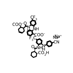 N#Cc1ccc(Nc2ccc(C(F)(F)F)cc2NC(=O)[C@@H]2CCCC[C@H]2C(=O)O)cc1.O=C([O-])c1ccccc1Nc1ccc(C(F)(F)F)cc1NC(=O)C1CC=CCC1C(=O)[O-].[Na+].[Na+]